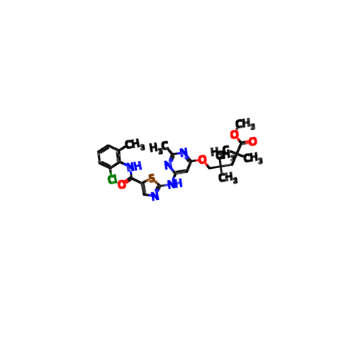 COC(=O)C(C)(C)CC(C)(C)COc1cc(Nc2ncc(C(=O)Nc3c(C)cccc3Cl)s2)nc(C)n1